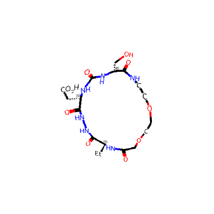 CC[C@@H]1NC(=O)COCCOCCNC(=O)[C@@H](CO)NC(=O)N[C@@H](CC(=O)O)C(=O)NNC1=O